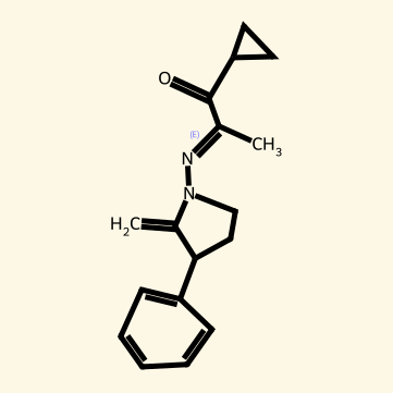 C=C1C(c2ccccc2)CCN1/N=C(\C)C(=O)C1CC1